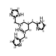 c1c[nH]c(CC2CN(Cc3ncc[nH]3)NN(Cc3ncc[nH]3)C2)n1